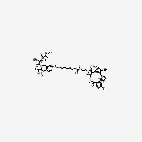 CN[C@@H](C)C(=O)N[C@H](C(=O)N1Cc2cc(OCCCCCCCCC(=O)NCCn3nc4c(c3OC)-c3cnc(N)c(c3)N3CCC[C@@H]3c3cc(F)ccc3C(=O)N(C)C4)ccc2C[C@H]1C(N)=O)C(C)(C)C